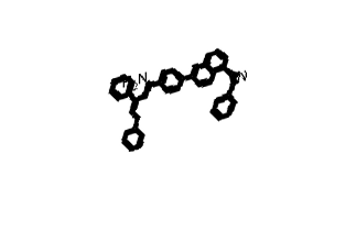 N/C(=C\C(=C/Cc1ccccc1)c1ccccc1)c1ccc(-c2ccc3c(C4=NC4c4ccccc4)cccc3c2)cc1